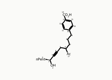 CCCCC[C@H](O)C#CCC(CCCc1ccc(C(=O)O)cc1)C(C)=O